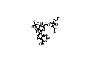 CCOP(=O)(COCC1O[C@@H](n2cnc3c(Cl)ncnc32)[C@@H]2OC(C)(C)O[C@H]12)OCC